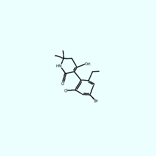 CCc1cc(Br)cc(Cl)c1C1=C(O)CC(C)(C)NC1=O